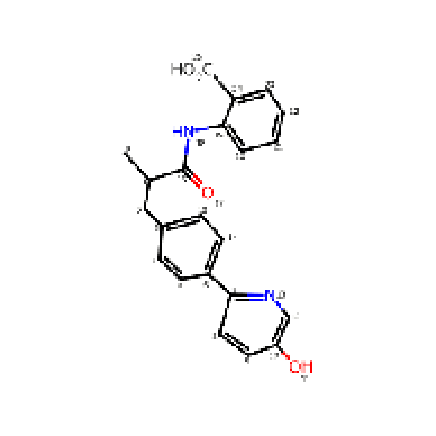 CC(Cc1ccc(-c2ccc(O)cn2)cc1)C(=O)Nc1ccccc1C(=O)O